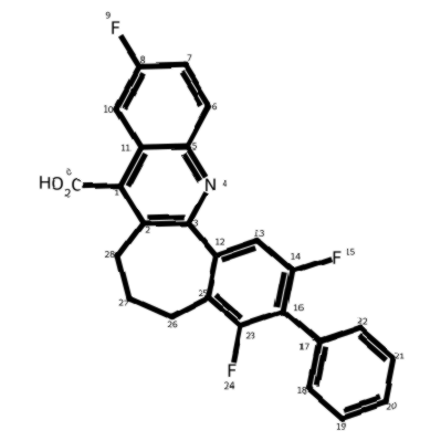 O=C(O)c1c2c(nc3ccc(F)cc13)-c1cc(F)c(-c3ccccc3)c(F)c1CCC2